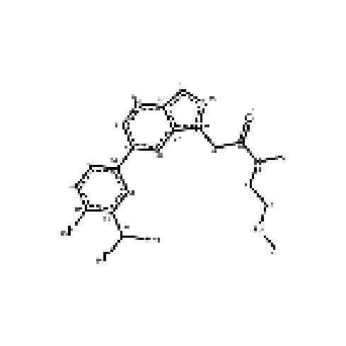 COCCN(C)C(=O)Cn1ncc2ncc(-c3ccc(F)c(C(F)F)c3)cc21